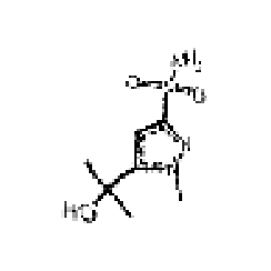 Cn1nc(S(N)(=O)=O)cc1C(C)(C)O